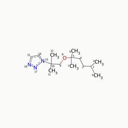 CC(C)CCC(C)(C)OCC(C)(C)n1ccnn1